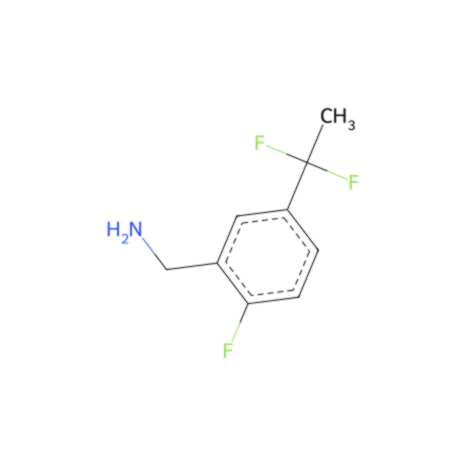 CC(F)(F)c1ccc(F)c(CN)c1